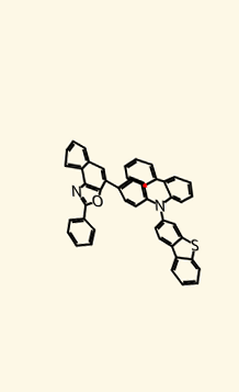 c1ccc(-c2nc3c(o2)c(-c2ccc(N(c4ccc5c(c4)sc4ccccc45)c4ccccc4-c4ccccc4)cc2)cc2ccccc23)cc1